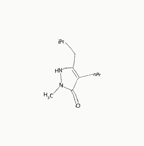 CCCc1c(CC(C)C)[nH]n(C)c1=O